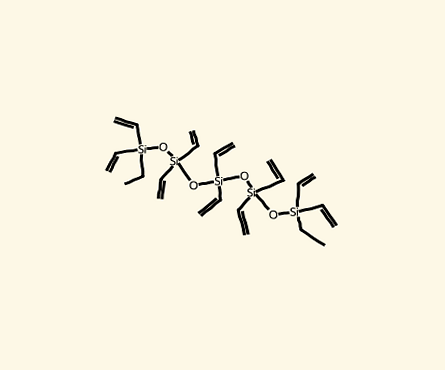 C=C[Si](C=C)(CC)O[Si](C=C)(C=C)O[Si](C=C)(C=C)O[Si](C=C)(C=C)O[Si](C=C)(C=C)CC